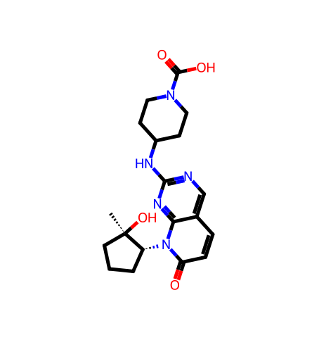 C[C@@]1(O)CCC[C@H]1n1c(=O)ccc2cnc(NC3CCN(C(=O)O)CC3)nc21